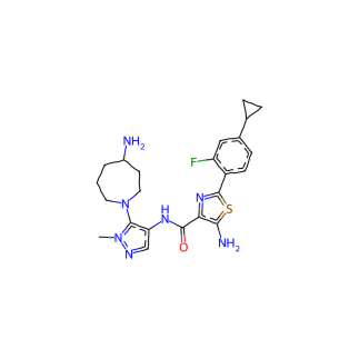 Cn1ncc(NC(=O)c2nc(-c3ccc(C4CC4)cc3F)sc2N)c1N1CCCC(N)CC1